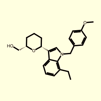 CCc1cccc2c([C@H]3CCC[C@@H](CO)O3)cn(Cc3ccc(OC)cc3)c12